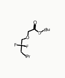 CC(C)CC(F)(F)COCC(=O)OC(C)(C)C